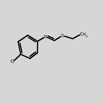 CCOC=Nc1ccc(Cl)cc1